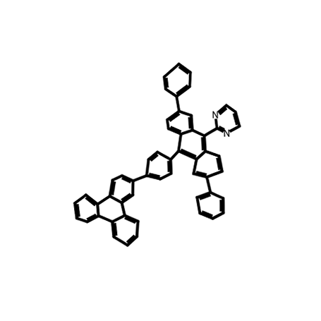 c1ccc(-c2ccc3c(-c4ncccn4)c4cc(-c5ccccc5)ccc4c(-c4ccc(-c5ccc6c7ccccc7c7ccccc7c6c5)cc4)c3c2)cc1